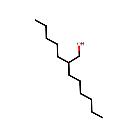 CCCCCCC(CO)CCCCC